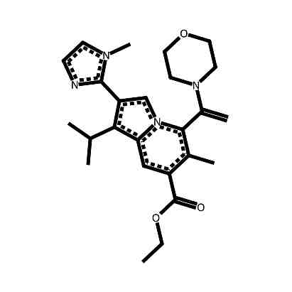 C=C(c1c(C)c(C(=O)OCC)cc2c(C(C)C)c(-c3nccn3C)cn12)N1CCOCC1